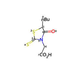 CCCCC1SC(=S)N(CC(=O)O)C1=O